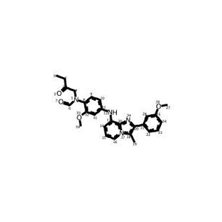 CCC(=O)CN(C=O)c1ccc(Nc2cccn3c(C)c(-c4cccc(OC)c4)nc23)cc1OC